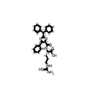 N=C(N)NCCC[C@H](NC(=O)c1oc(C(c2ccccc2)c2ccccc2)nc1-c1ccccc1)C(=O)O